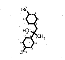 CC(C)(C)C1CCC(CC(C)(C)C2CCC(Cl)CC2)CC1